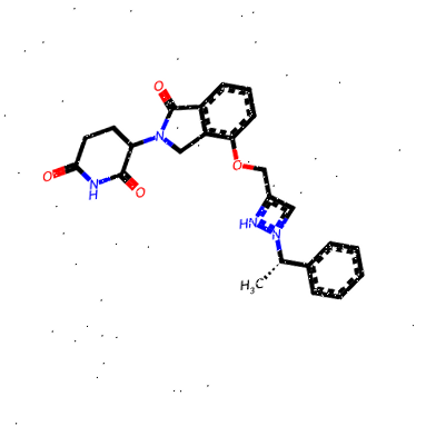 C[C@@H](c1ccccc1)n1cc(COc2cccc3c2CN(C2CCC(=O)NC2=O)C3=O)[nH]1